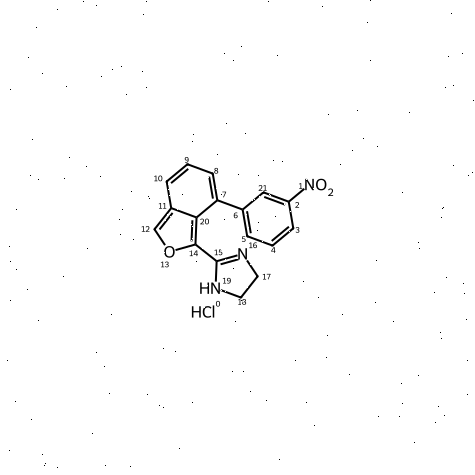 Cl.O=[N+]([O-])c1cccc(-c2cccc3coc(C4=NCCN4)c23)c1